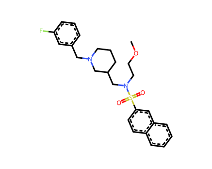 COCCN(CC1CCCN(Cc2cccc(F)c2)C1)S(=O)(=O)c1ccc2ccccc2c1